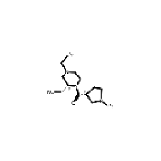 CC(C)CN1CCN(C(=O)[C@@H]2CCN(C(C)C)C2)[C@H](CC#N)C1